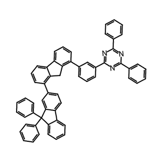 c1ccc(-c2nc(-c3ccccc3)nc(-c3cccc(-c4cccc5c4Cc4c(-c6ccc7c(c6)C(c6ccccc6)(c6ccccc6)c6ccccc6-7)cccc4-5)c3)n2)cc1